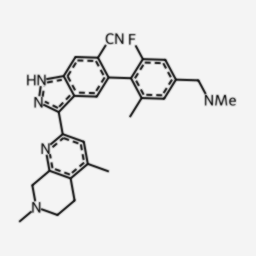 CNCc1cc(C)c(-c2cc3c(-c4cc(C)c5c(n4)CN(C)CC5)n[nH]c3cc2C#N)c(F)c1